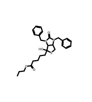 CCCOC(=O)CCCCC1(O)SCC2C1N(Cc1ccccc1)C(=O)N2Cc1ccccc1